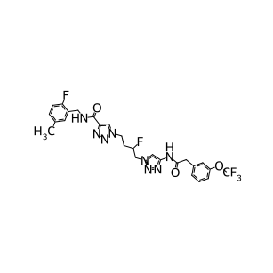 Cc1ccc(F)c(CNC(=O)c2cn(CCC(F)Cn3cc(NC(=O)Cc4cccc(OC(F)(F)F)c4)nn3)nn2)c1